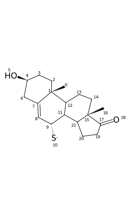 C[C@]12CC[C@H](O)CC1=C[C@@H]([S])C1C2CC[C@]2(C)C(=O)CCC12